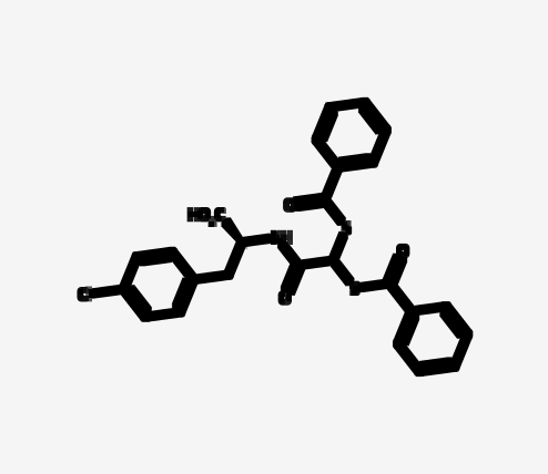 O=C(SC(SC(=O)c1ccccc1)C(=O)N[C@@H](Cc1ccc(Cl)cc1)C(=O)O)c1ccccc1